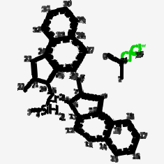 CCC.C[SiH2][Zr+2]([CH]1C(C)=Cc2c1ccc1ccccc21)[CH]1C(C)=Cc2c1ccc1ccccc21.[Cl-].[Cl-]